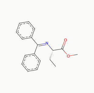 CC[C@H](N=C(c1ccccc1)c1ccccc1)C(=O)OC